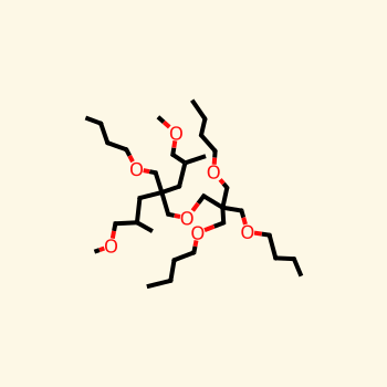 CCCCOCC(COCCCC)(COCCCC)COCC(COCCCC)(CC(C)COC)CC(C)COC